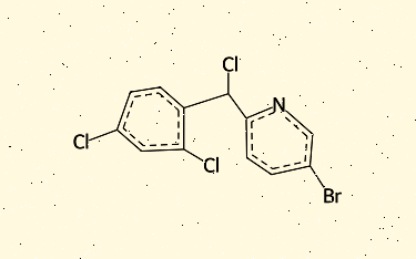 Clc1ccc(C(Cl)c2ccc(Br)cn2)c(Cl)c1